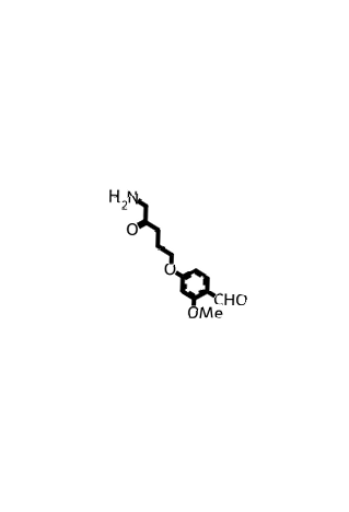 COc1cc(OCCCC(=O)CN)ccc1C=O